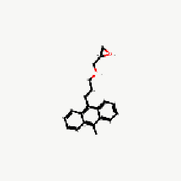 Cc1c2ccccc2c(CCCOCC2CO2)c2ccccc12